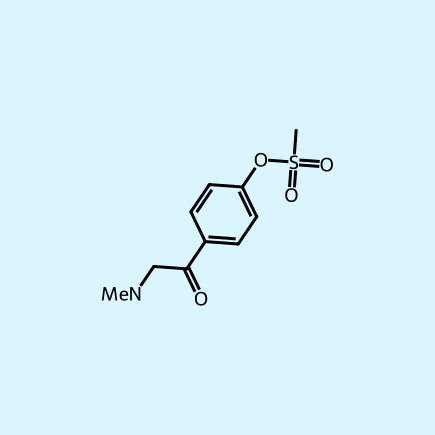 CNCC(=O)c1ccc(OS(C)(=O)=O)cc1